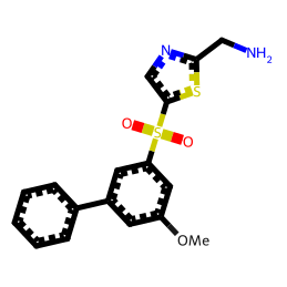 COc1cc(-c2ccccc2)cc(S(=O)(=O)c2cnc(CN)s2)c1